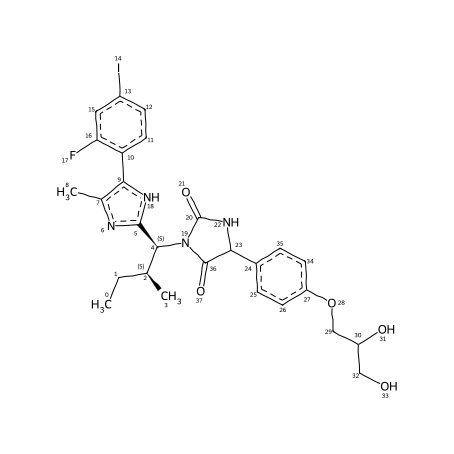 CC[C@H](C)[C@@H](c1nc(C)c(-c2ccc(I)cc2F)[nH]1)N1C(=O)NC(c2ccc(OCC(O)CO)cc2)C1=O